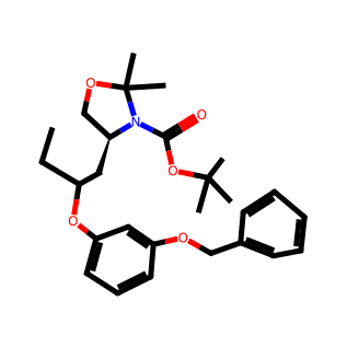 CCC(C[C@H]1COC(C)(C)N1C(=O)OC(C)(C)C)Oc1cccc(OCc2ccccc2)c1